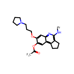 CC(C)Nc1nc2cc(OCCCN3CCCC3)c(OC(=O)C(F)(F)F)cc2c2c1CCC2